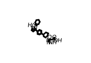 O=C(O)c1[nH]nnc1OC1CCC(c2ccc(-c3ccnn3CC3(O)CCCCC3)cc2)CC1